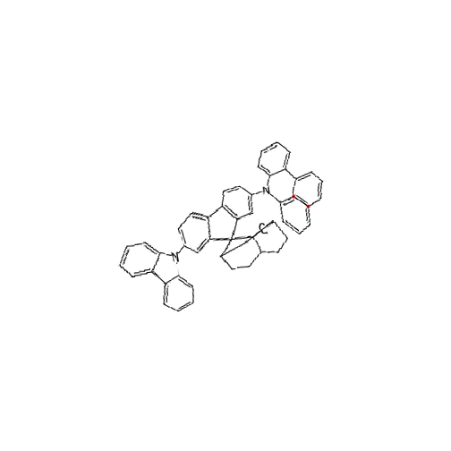 c1ccc(-c2ccccc2N(c2ccccc2)c2ccc3c(c2)C2(c4cc(-n5c6ccccc6c6ccccc65)ccc4-3)C3CCC4CCC3CC42)cc1